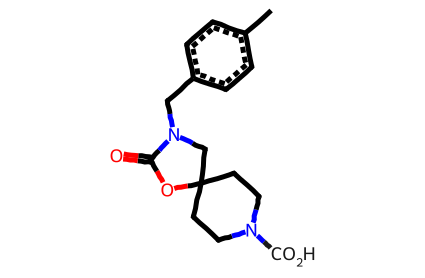 Cc1ccc(CN2CC3(CCN(C(=O)O)CC3)OC2=O)cc1